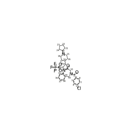 O=C(c1ccc(Cl)cc1)N1CC(=O)[N+](CCC2CCN(C3CCCC3)CC2)(OC(=O)C(F)(F)F)c2ccccc2C1